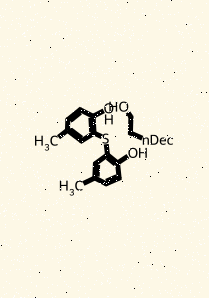 CCCCCCCCCCCCO.Cc1ccc(O)c(Sc2cc(C)ccc2O)c1